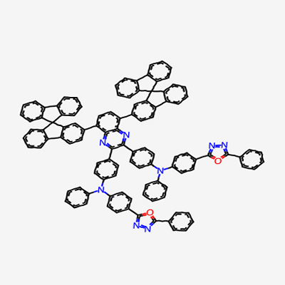 c1ccc(-c2nnc(-c3ccc(N(c4ccccc4)c4ccc(-c5nc6c(-c7ccc8c(c7)C7(c9ccccc9-c9ccccc97)c7ccccc7-8)ccc(-c7ccc8c(c7)C7(c9ccccc9-c9ccccc97)c7ccccc7-8)c6nc5-c5ccc(N(c6ccccc6)c6ccc(-c7nnc(-c8ccccc8)o7)cc6)cc5)cc4)cc3)o2)cc1